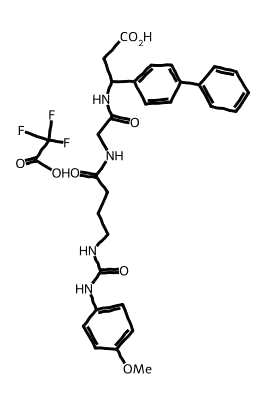 COc1ccc(NC(=O)NCCCC(=O)NCC(=O)NC(CC(=O)O)c2ccc(-c3ccccc3)cc2)cc1.O=C(O)C(F)(F)F